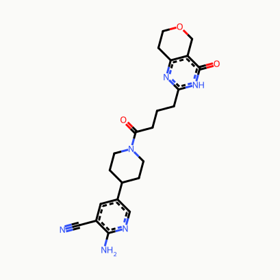 N#Cc1cc(C2CCN(C(=O)CCCc3nc4c(c(=O)[nH]3)COCC4)CC2)cnc1N